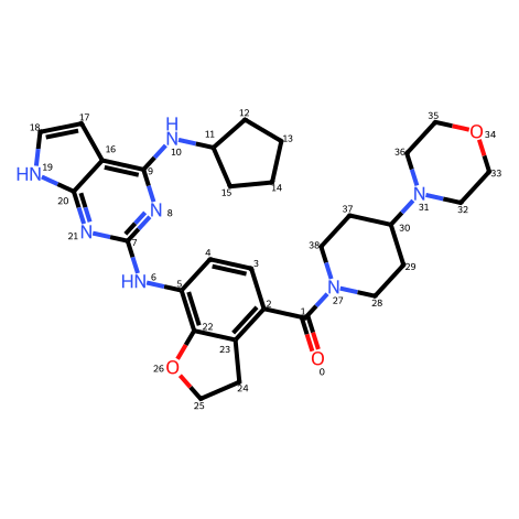 O=C(c1ccc(Nc2nc(NC3CCCC3)c3cc[nH]c3n2)c2c1CCO2)N1CCC(N2CCOCC2)CC1